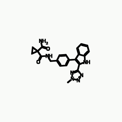 Cn1nnc(-c2[nH]c3ccccc3c2-c2ccc(CNC(=O)C3(C(N)=O)CC3)cc2)n1